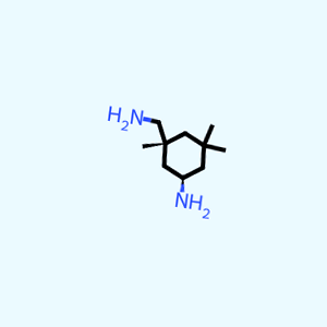 CC1(C)C[C@@H](N)C[C@](C)(CN)C1